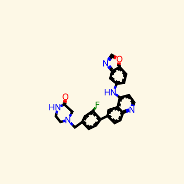 O=C1CN(Cc2ccc(-c3ccc4nccc(Nc5ccc6ocnc6c5)c4c3)c(F)c2)CCN1